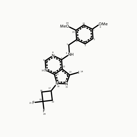 COc1ccc(CNc2ncnc3c2c(I)nn3C2CC(F)(F)C2)c(OC)c1